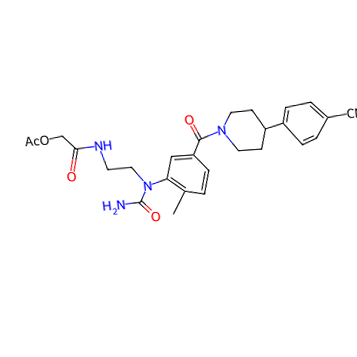 CC(=O)OCC(=O)NCCN(C(N)=O)c1cc(C(=O)N2CCC(c3ccc(C#N)cc3)CC2)ccc1C